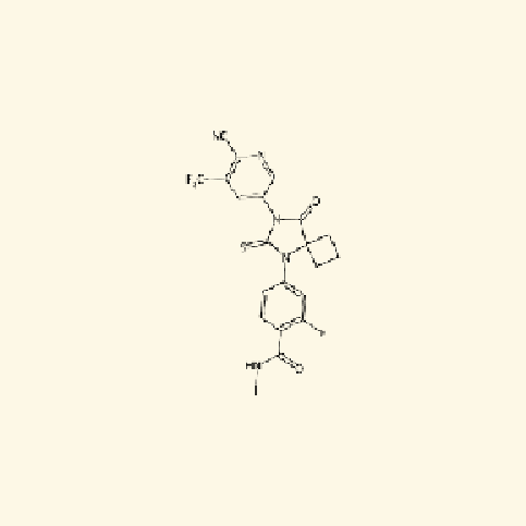 N#Cc1ncc(N2C(=O)C3(CCC3)N(c3ccc(C(=O)NI)c(F)c3)C2=S)cc1C(F)(F)F